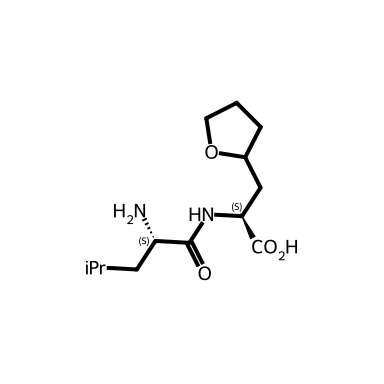 CC(C)C[C@H](N)C(=O)N[C@@H](CC1CCCO1)C(=O)O